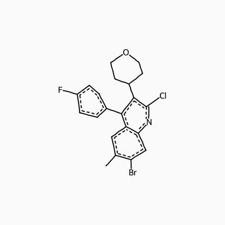 Cc1cc2c(-c3ccc(F)cc3)c(C3CCOCC3)c(Cl)nc2cc1Br